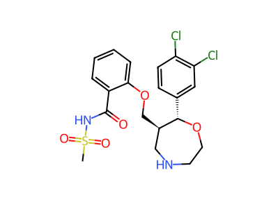 CS(=O)(=O)NC(=O)c1ccccc1OC[C@@H]1CNCCO[C@H]1c1ccc(Cl)c(Cl)c1